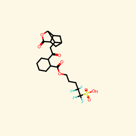 O=C(CC1C2CC3C(=O)OC1C3C2)C1CCCCC1C(=O)OCCCC(F)(F)C(F)(F)S(=O)(=O)O